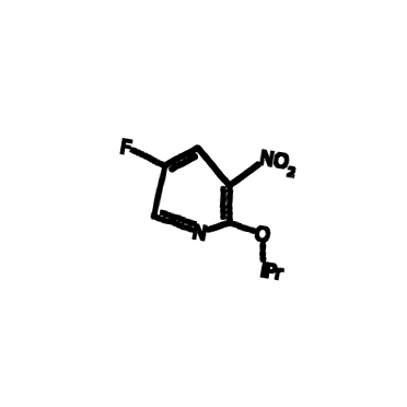 CC(C)Oc1ncc(F)cc1[N+](=O)[O-]